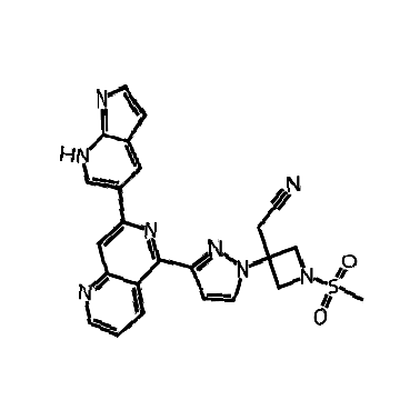 CS(=O)(=O)N1CC(CC#N)(n2ccc(-c3nc(-c4c[nH]c5nccc-5c4)cc4ncccc34)n2)C1